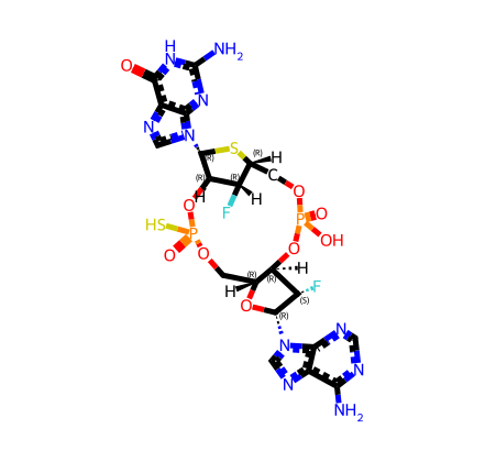 Nc1nc2c(ncn2[C@@H]2S[C@@H]3COP(=O)(O)O[C@H]4[C@H](F)[C@H](n5cnc6c(N)ncnc65)O[C@@H]4COP(=O)(S)O[C@@H]2[C@H]3F)c(=O)[nH]1